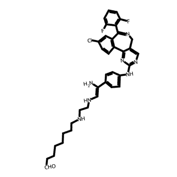 N/C(=C\NCCNCCCCCCCC=O)c1ccc(Nc2ncc3c(n2)-c2ccc(Cl)cc2C(c2c(F)cccc2F)=NC3)cc1